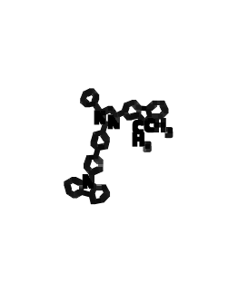 CC1(C)c2ccccc2-c2ccc(-c3cc(-c4ccccc4)nc(-c4ccc(-c5ccc(-n6c7ccccc7c7ccccc76)cc5)cc4)n3)cc21